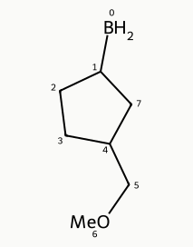 BC1CCC(COC)C1